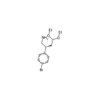 CCOC(C[C@H](CN)c1ccc(Br)cc1)OCC